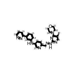 Fc1cnc(N/N=C/c2ccc(Nc3cccc(-c4cccnn4)c3)cn2)nc1N1CCOCC1